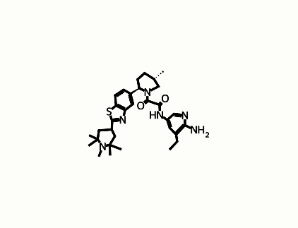 CCc1cc(NC(=O)C(=O)N2C[C@@H](C)CC[C@@H]2c2ccc3sc(C4CC(C)(C)N(C)C(C)(C)C4)nc3c2)cnc1N